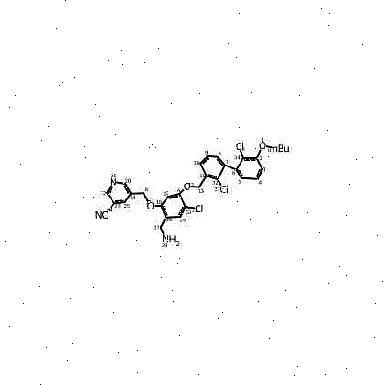 CCCCOc1cccc(-c2cccc(COc3cc(OCc4cncc(C#N)c4)c(CN)cc3Cl)c2Cl)c1Cl